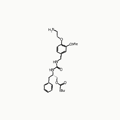 COc1cc(CNC(=O)N[C@H](COC(=O)C(C)(C)C)Cc2ccccc2)ccc1OCCN